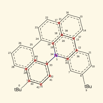 CC(C)(C)c1ccc(N(c2cc(C(C)(C)C)ccc2-c2ccccc2)c2ccccc2-c2cccc3cccc(-c4ccccc4)c23)cc1